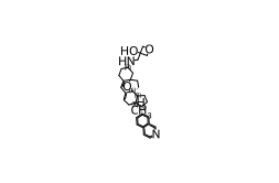 C[C@]12CC=C3C=C4CC[C@@H](NCC5(O)COC5)CC45CC[C@]3(O5)[C@@H]1CC[C@@H]2c1ccc2ccncc2c1